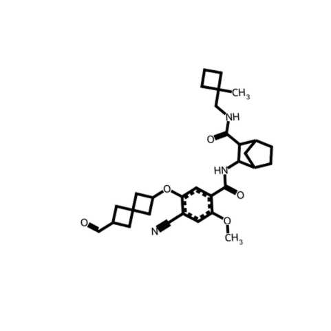 COc1cc(C#N)c(OC2CC3(CC(C=O)C3)C2)cc1C(=O)NC1C2CCC(C2)C1C(=O)NCC1(C)CCC1